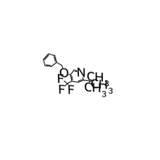 CC(C)(C)c1cc(C(F)(F)F)c(OCc2ccccc2)cn1